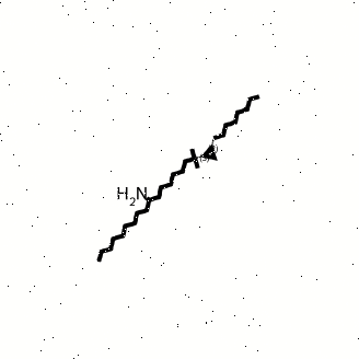 CCCCCCCCCC(N)CCCCCCC(C)(C)[C@H]1C[C@H]1CCCCCCCC